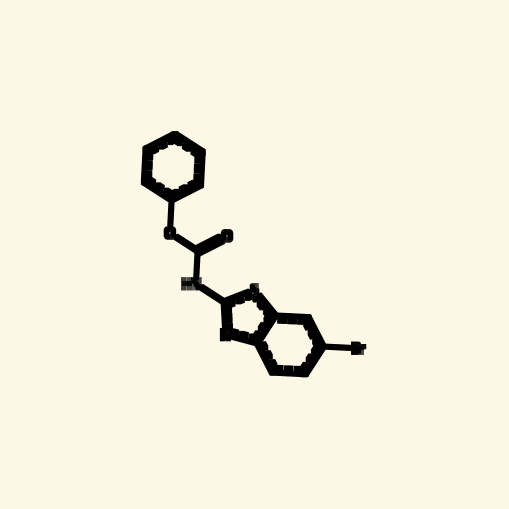 O=C(Nc1nc2ccc(Br)cc2s1)Oc1ccccc1